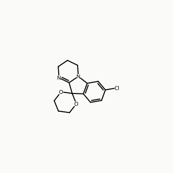 Clc1ccc2c(c1)N1CCCN=C1C21OCCCO1